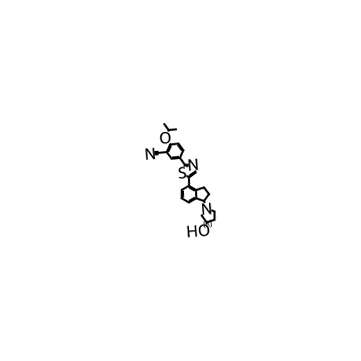 CC(C)Oc1ccc(-c2ncc(-c3cccc4c3CCC4N3CC[C@@H](O)C3)s2)cc1C#N